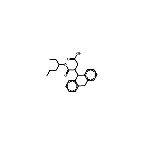 CCCC(CC)OC(=O)C(CC(=O)O)C1c2ccccc2Cc2ccccc21